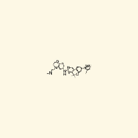 Cc1cnnn1-c1ccc2c(c1)OC(C)(C)c1nc(Nc3cnc4c(c3)N(CCN(C)C)CCO4)ncc1-2